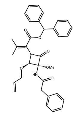 C=CCO[C@H]1N(C(C(=O)OC(c2ccccc2)c2ccccc2)=C(C)C)C(=O)[C@]1(NC(=O)Cc1ccccc1)OC